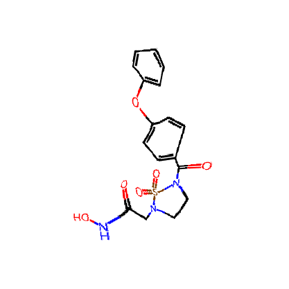 O=C(CN1CCN(C(=O)c2ccc(Oc3ccccc3)cc2)S1(=O)=O)NO